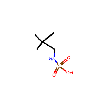 CC(C)(C)CNS(=O)(=O)O